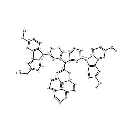 COc1ccc2c(c1)c1cc(OC)ccc1n2-c1ccc2c3ccc(-n4c5ccc(CO)cc5c5cc(CO)ccc54)cc3n(-c3cc4ccc5cccc6ccc(c3)c4c56)c2c1